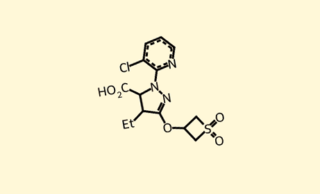 CCC1C(OC2CS(=O)(=O)C2)=NN(c2ncccc2Cl)C1C(=O)O